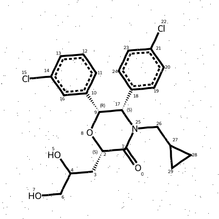 O=C1[C@H](CC(O)CO)O[C@H](c2cccc(Cl)c2)[C@H](c2ccc(Cl)cc2)N1CC1CC1